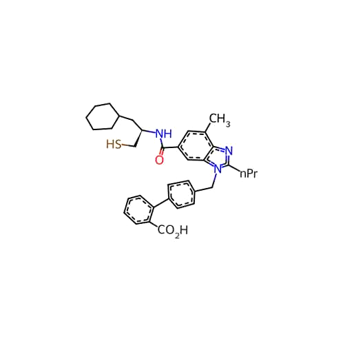 CCCc1nc2c(C)cc(C(=O)N[C@@H](CS)CC3CCCCC3)cc2n1Cc1ccc(-c2ccccc2C(=O)O)cc1